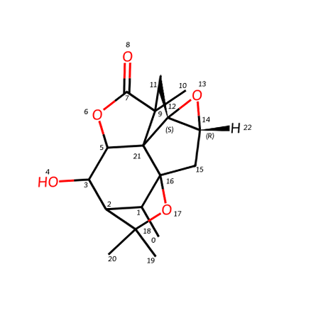 CC1C2C(O)C3OC(=O)C4(C)C[C@@]56O[C@@H]5CC1(OC2(C)C)C346